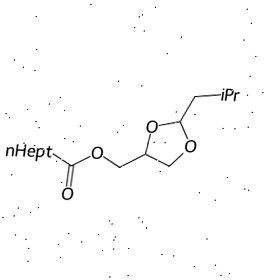 CCCCCCCC(=O)OCC1COC(CC(C)C)O1